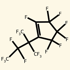 FC1=C(C(C(F)(F)F)(C(F)(F)F)C(F)(F)C(F)(F)F)C(F)(F)C(F)(F)C1(F)F